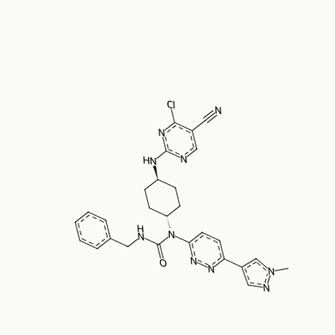 Cn1cc(-c2ccc(N(C(=O)NCc3ccccc3)[C@H]3CC[C@H](Nc4ncc(C#N)c(Cl)n4)CC3)nn2)cn1